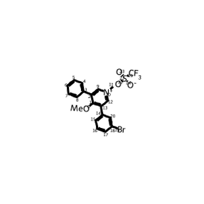 COc1c(-c2ccccc2)c[n+](C)cc1-c1cccc(Br)c1.O=S(=O)([O-])C(F)(F)F